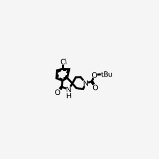 CC(C)(C)OC(=O)N1CCC2(CC1)NC(=O)c1ccc(Cl)cc12